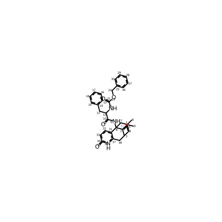 C/C=C1\C2C=C(C)CC1(NC(=O)C(Cc1ccccc1)NC(=O)OCc1ccccc1)c1ccc(=O)[nH]c1C2